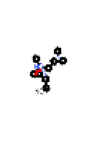 N#Cc1cccc(-c2ccc3c(c2)c2ccccc2n3-c2ccc(-c3ccc4c(c3)c3ccccc3n4-c3ccccc3)cc2-c2nc(-c3ccccc3)nc(-c3ccccc3)n2)c1